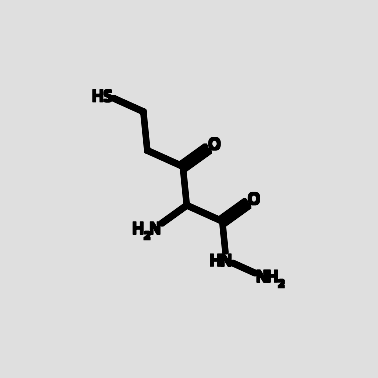 NNC(=O)C(N)C(=O)CCS